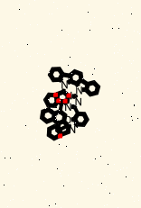 c1ccc(-c2nc(-c3cccc4nc(-c5ccccc5)oc34)nc(-n3c4ccccc4c4ccc5c6ccccc6n(-c6ccc(-c7cc8ccccc8c8ccccc78)cc6)c5c43)n2)cc1